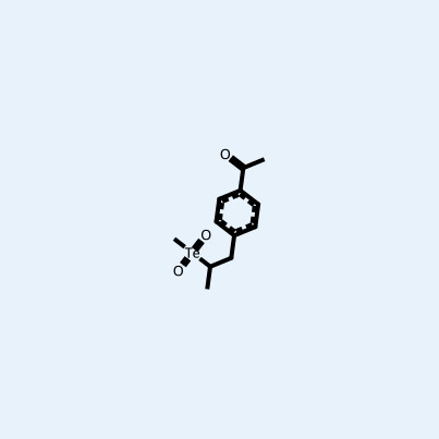 CC(=O)c1ccc(CC(C)[Te](C)(=O)=O)cc1